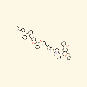 C=C/C=C\c1cccc(-c2c3ccccc3c(-c3ccc4c(c3)oc3c5ccccc5c5c6cc(-c7cc/c(=C/C(=C)C8=c9\cccc\c9=C(C(=C)c9cc%10c(cc9-c9cc%11ccccc%11o9)oc9ccccc9%10)\C=C\CC\C=C\8)c(=C)c7)ccc6oc5c43)c3ccccc23)c1